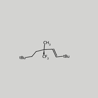 CC(C)(C)/C=C/[C@@](C)(CCC(C)(C)C)C(F)(F)F